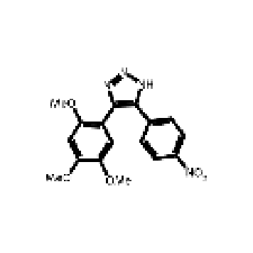 COc1cc(OC)c(-c2nn[nH]c2-c2ccc([N+](=O)[O-])cc2)cc1OC